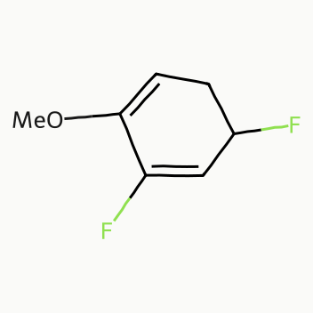 COC1=CCC(F)C=C1F